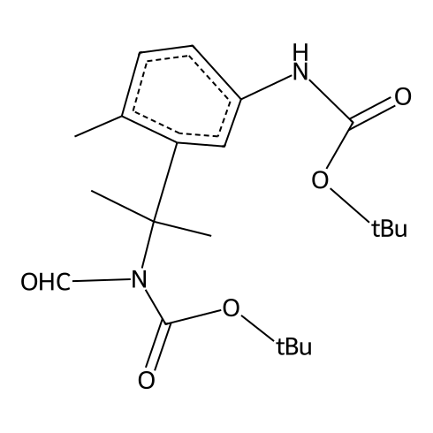 Cc1ccc(NC(=O)OC(C)(C)C)cc1C(C)(C)N(C=O)C(=O)OC(C)(C)C